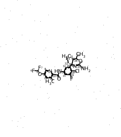 Cc1cc(OC(F)F)cnc1C(=O)Nc1cc(F)c(Cl)c([C@]2(CF)N=C(N)OC(C)[C@H]2C)c1